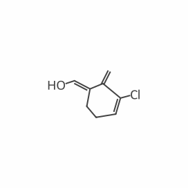 C=C1C(Cl)=CCC/C1=C\O